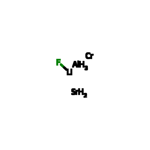 [AlH3].[Cr].[Li][F].[SrH2]